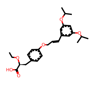 CCO[C@@H](Cc1ccc(OC/C=C/c2cc(OC(C)C)cc(OC(C)C)c2)cc1)C(=O)O